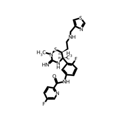 CN1S[C@@H](CCNCc2cscn2)[C@@](C)(c2cc(NC(=O)c3ccc(F)cn3)ccc2F)NC1=N